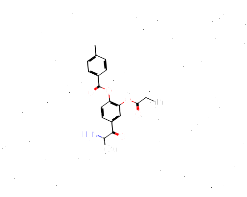 Cc1ccc(C(=O)Oc2ccc(C(=O)C(N)C(C)(C)C)cc2OC(=O)CC(C)C)cc1